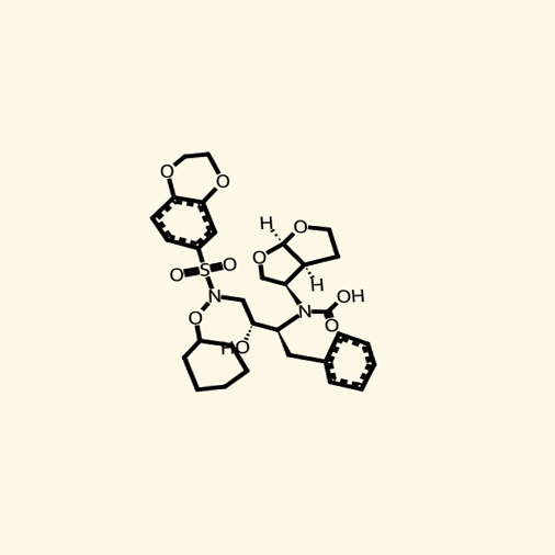 O=C(O)N([C@H]1CO[C@H]2OCC[C@H]21)[C@@H](Cc1ccccc1)[C@H](O)CN(OC1CCCCC1)S(=O)(=O)c1ccc2c(c1)OCCO2